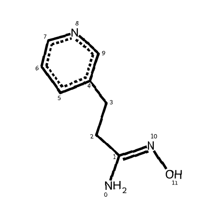 NC(CCc1cccnc1)=NO